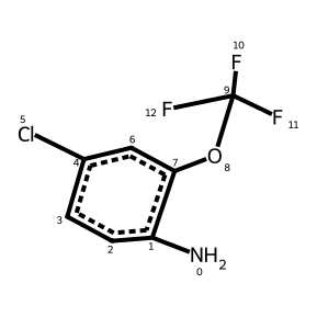 Nc1ccc(Cl)cc1OC(F)(F)F